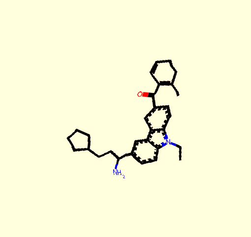 CCn1c2ccc(C(=O)C3=C(C)CCC=C3)cc2c2cc(C(N)CCC3CCCC3)ccc21